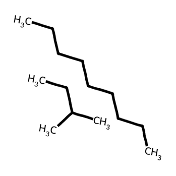 CCC(C)C.CCCCCCCCC